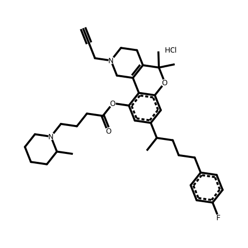 C#CCN1CCC2=C(C1)c1c(OC(=O)CCCN3CCCCC3C)cc(C(C)CCCc3ccc(F)cc3)cc1OC2(C)C.Cl